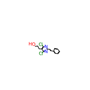 OCCCc1c(Cl)nc(C=Cc2ccccc2)nc1Cl